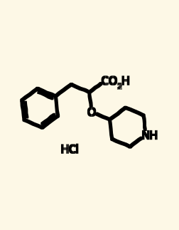 Cl.O=C(O)C(Cc1ccccc1)OC1CCNCC1